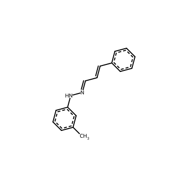 Cc1cccc(NN=CC=Cc2ccccc2)c1